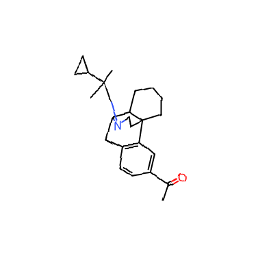 CC(=O)c1ccc2c(c1)C13CCCCC1C(C2)N(C(C)(C)C1CC1)CC3